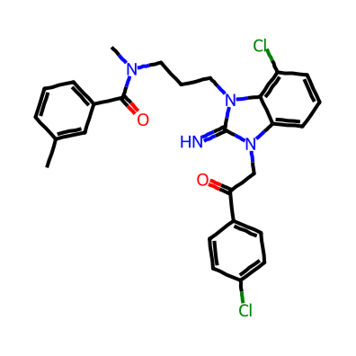 Cc1cccc(C(=O)N(C)CCCn2c(=N)n(CC(=O)c3ccc(Cl)cc3)c3cccc(Cl)c32)c1